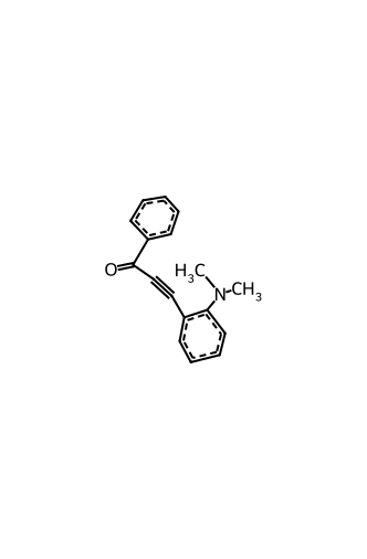 CN(C)c1ccccc1C#CC(=O)c1ccccc1